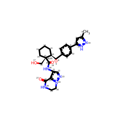 Cc1cc(-c2ccc(C(=O)[C@@H]3CCCC[C@@]3(CO)C(=O)Nc3cnn4c3C(=O)NCC4)cc2)[nH]n1